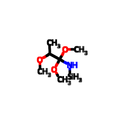 COC(C)C(N[SiH3])(OC)OC